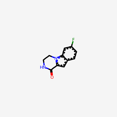 O=C1NCCn2c1cc1ccc(F)cc12